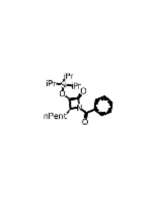 CCCCC[C@H]1[C@@H](O[Si](C(C)C)(C(C)C)C(C)C)C(=O)N1C(=O)c1ccccc1